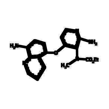 CCOC(=O)N(C)c1c(Oc2ccc(N)c3ncccc23)ccnc1N